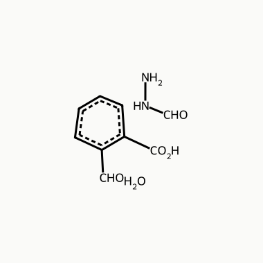 NNC=O.O.O=Cc1ccccc1C(=O)O